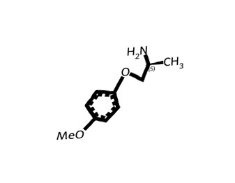 COc1ccc(OC[C@H](C)N)cc1